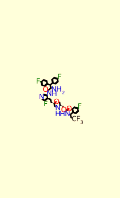 N[C@H](C(=O)Nc1cncc(F)c1CC[C@@H]1CN[C@H](COC(=O)NC(CC(F)(F)F)c2ccc(F)cc2)CO1)C(c1ccc(F)cc1)c1ccc(F)cc1